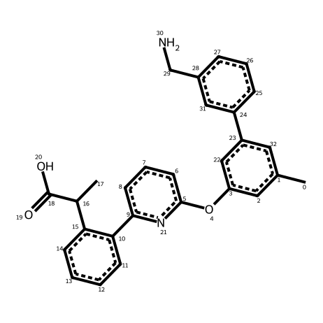 Cc1cc(Oc2cccc(-c3ccccc3C(C)C(=O)O)n2)cc(-c2cccc(CN)c2)c1